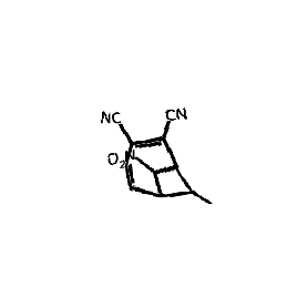 CC1C2C=CC(C#N)=C(C#N)C1C2[N+](=O)[O-]